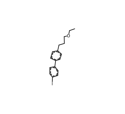 CCOCCCc1ccc(-c2ccc(I)cc2)cc1